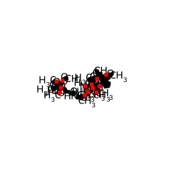 COc1ccc(C(OC[C@H]2OC(C(C)(C)C)C(OCOC(C)(C)CCOC(C)(C)CCNC(=O)CCCCOC3OC(COC(C)=O)C(OC(C)=O)C(OC(C)=O)C3NC(C)=O)C2OP(OCCC#N)N(C(C)C)C(C)C)(c2ccccc2)c2ccc(OC)cc2)cc1